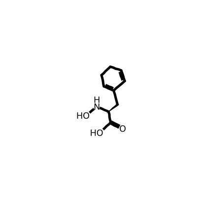 O=C(O)[C@H](CC1=CCCC=C1)NO